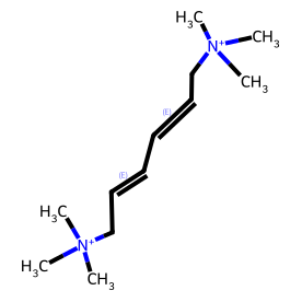 C[N+](C)(C)C/C=C/C=C/C[N+](C)(C)C